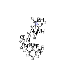 CC(=N)/C(Cn1cc(N2C(=O)N(Cc3cccc(C(F)(F)F)c3)C(C)(C)C2=O)cn1)=C(/C)P